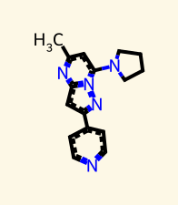 Cc1cc(N2CCCC2)n2nc(-c3ccncc3)cc2n1